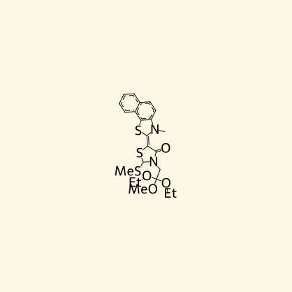 CCOC(CN1C(=O)C(=C2Sc3c(ccc4ccccc34)N2C)SC1SC)(OC)OCC